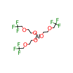 FC(F)(F)COCC[O][Al]([O]CCOCC(F)(F)F)[O]CCOCC(F)(F)F